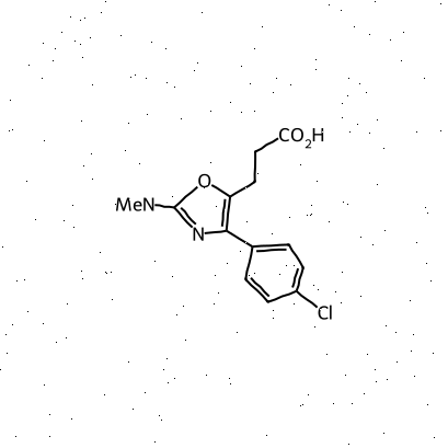 CNc1nc(-c2ccc(Cl)cc2)c(CCC(=O)O)o1